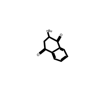 CCCC[C]1CC(=O)c2ccccc2C1=O